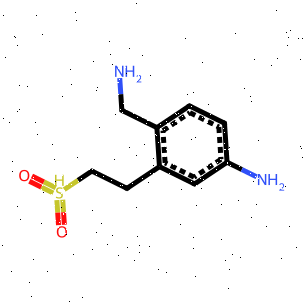 NCc1ccc(N)cc1CC[SH](=O)=O